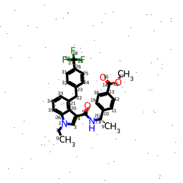 CCn1cc(C(=O)N[C@@H](C)c2ccc(C(=O)OC)cc2)c2c(Cc3ccc(C(F)(F)F)cc3)cccc21